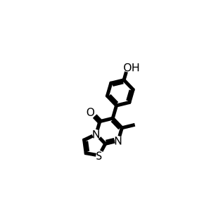 Cc1nc2sccn2c(=O)c1-c1ccc(O)cc1